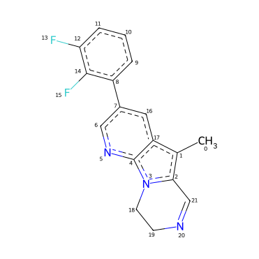 Cc1c2n(c3ncc(-c4cccc(F)c4F)cc13)CCN=C2